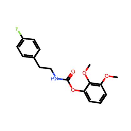 COc1cccc(OC(=O)NCCc2ccc(F)cc2)c1OC